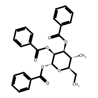 CC[C@H]1O[C@H](OC(=O)c2ccccc2)[C@@H](OC(=O)c2ccccc2)[C@@H](OC(=O)c2ccccc2)[C@@H]1C